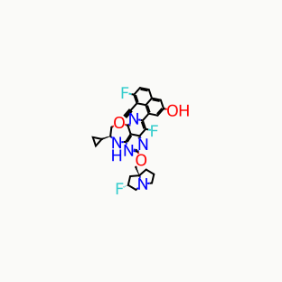 C#Cc1c(F)ccc2cc(O)cc(-c3nc4c5c(nc(OC[C@@]67CCCN6C[C@H](F)C7)nc5c3F)N[C@@H](C3CC3)CO4)c12